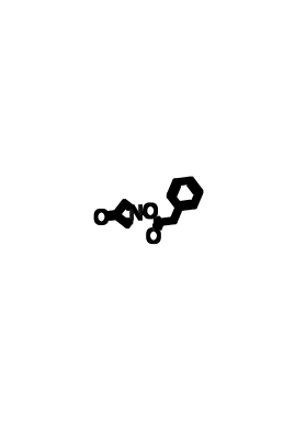 O=C1CN(OC(=O)Cc2ccccc2)C1